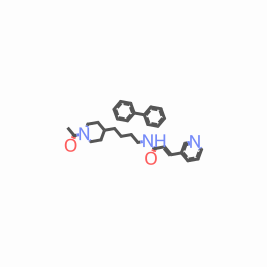 CC(=O)N1CCC(CCCCNC(=O)C=Cc2cccnc2)CC1.c1ccc(-c2ccccc2)cc1